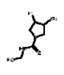 CCC1CN(C(=O)NCC(F)(F)F)CC1C(C)(C)C